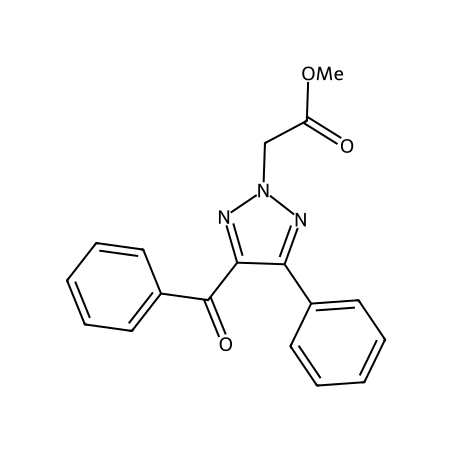 COC(=O)Cn1nc(C(=O)c2ccccc2)c(-c2ccccc2)n1